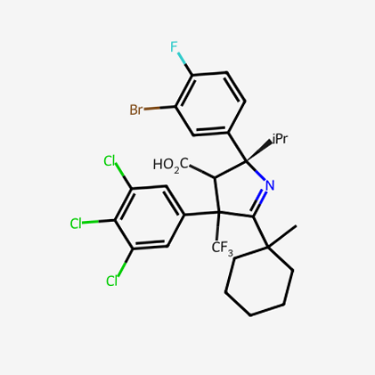 CC(C)[C@@]1(c2ccc(F)c(Br)c2)N=C(C2(C)CCCCC2)C(c2cc(Cl)c(Cl)c(Cl)c2)(C(F)(F)F)C1C(=O)O